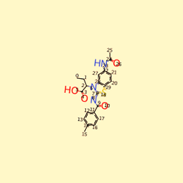 CCC(C(=O)O)n1/c(=N/C(=O)c2ccc(C)cc2)sc2ccc(NC(C)=O)cc21